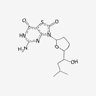 CC(C)CC(O)C1CCC(n2c(=O)sc3c(=O)[nH]c(N)nc32)O1